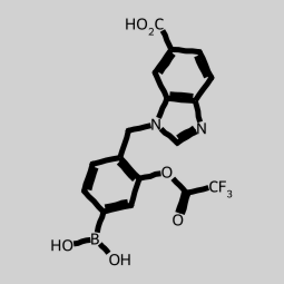 O=C(O)c1ccc2ncn(Cc3ccc(B(O)O)cc3OC(=O)C(F)(F)F)c2c1